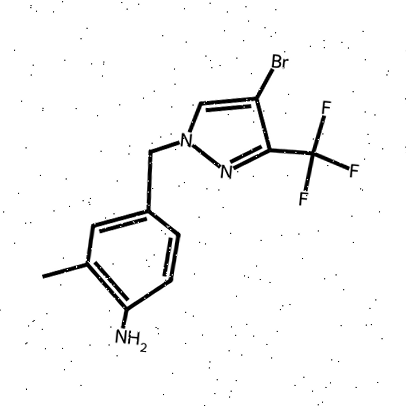 Cc1cc(Cn2cc(Br)c(C(F)(F)F)n2)ccc1N